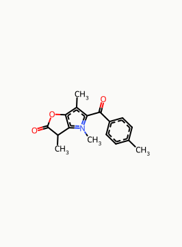 Cc1ccc(C(=O)c2c(C)c3c(n2C)C(C)C(=O)O3)cc1